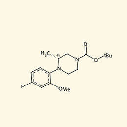 COc1cc(F)ccc1N1CCN(C(=O)OC(C)(C)C)C[C@H]1C